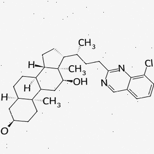 C[C@H](CCc1ncc2cccc(Cl)c2n1)[C@H]1CC[C@H]2[C@@H]3CC[C@@H]4C[C@H](O)CC[C@]4(C)C3C[C@H](O)[C@]12C